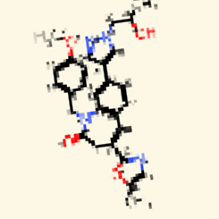 COc1ccc(CN2C(=O)CC(c3ncc(C)o3)=Cc3ccc(-c4cnn(CC(C)O)c4)cc32)cc1